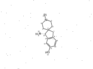 CCN1CCC2(CC1)Cc1ccc(O)cc1[C@@H]2N